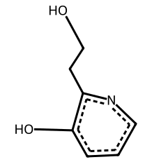 OCCc1ncccc1O